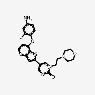 Nc1ccc(Oc2ccnc3cc(-c4cnc(=O)n(CCN5CCOCC5)c4)sc23)c(F)c1